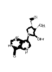 O=c1[nH]cnc2c(N3C[C@H](CO)[C@H](O)C3O)c[nH]c12